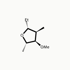 CC[C@H]1O[C@@H](C)[C@H](OC)[C@@H]1C